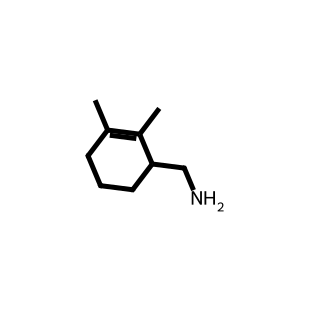 CC1=C(C)C(CN)CCC1